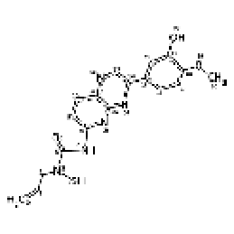 C=CCN(S)C(=O)Nc1ccc2ncc(-c3ccc(OC)c(O)c3)nc2n1